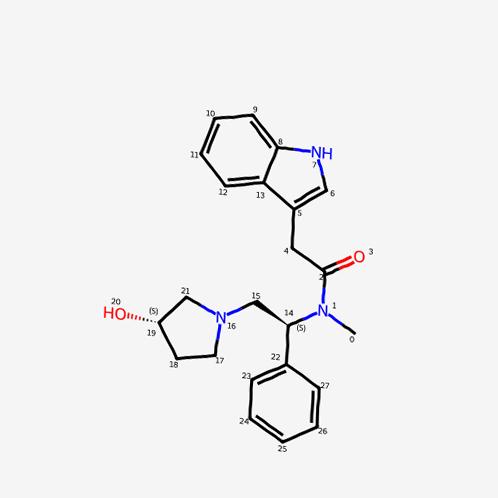 CN(C(=O)Cc1c[nH]c2ccccc12)[C@H](CN1CC[C@H](O)C1)c1ccccc1